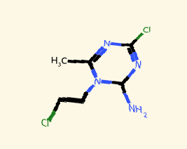 CC1=NC(Cl)=NC(N)N1CCCl